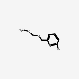 COCOCc1cccc(Br)n1